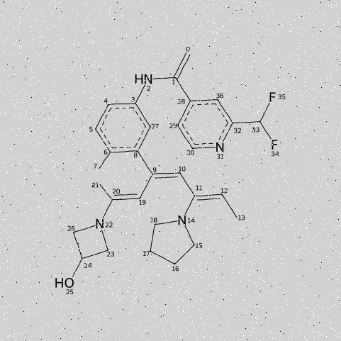 C=C(Nc1ccc(C)c(C(=C/C(=C/C)N2CCCC2)/C=C(\C)N2CC(O)C2)c1)c1ccnc(C(F)F)c1